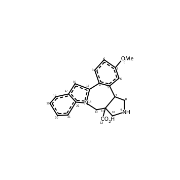 COc1ccc2c(c1)C1CNCC1(C(=O)O)Cn1c-2cc2ccccc21